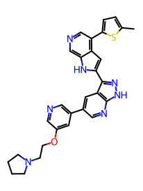 Cc1ccc(-c2cncc3[nH]c(-c4n[nH]c5ncc(-c6cncc(OCCN7CCCC7)c6)cc45)cc23)s1